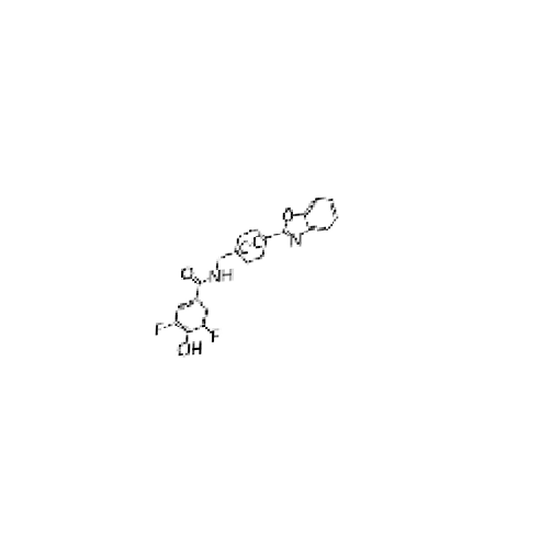 O=C(NCC12CCC(c3nc4ccccc4o3)(CC1)CC2)c1cc(F)c(O)c(F)c1